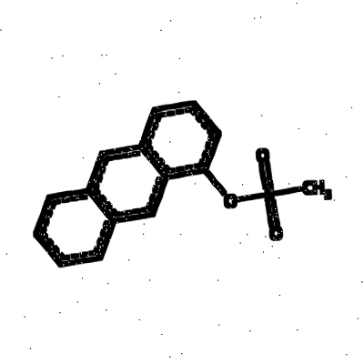 CS(=O)(=O)Oc1cccc2cc3ccccc3cc12